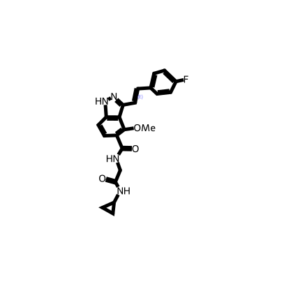 COc1c(C(=O)NCC(=O)NC2CC2)ccc2[nH]nc(/C=C/c3ccc(F)cc3)c12